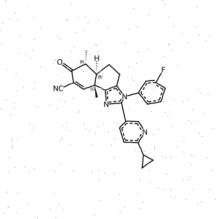 C[C@H]1C(=O)C(C#N)=C[C@@]2(C)c3nc(-c4ccc(C5CC5)nc4)n(-c4cccc(F)c4)c3CC[C@H]12